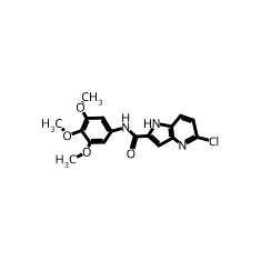 COc1cc(NC(=O)c2cc3nc(Cl)ccc3[nH]2)cc(OC)c1OC